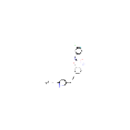 COc1ccc(CC#Cc2ccc3c(c2)C(=O)/C(=C/c2ccc(F)c(Cl)c2)C(=O)N3C)cn1